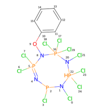 ClN1P(Cl)N=P(Cl)(Cl)N(Oc2ccccc2)P(Cl)(Cl)(Cl)N(Cl)[PH]1(Cl)Cl